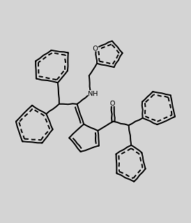 O=C(C1=CC=C/C1=C(/NCc1ccco1)C(c1ccccc1)c1ccccc1)C(c1ccccc1)c1ccccc1